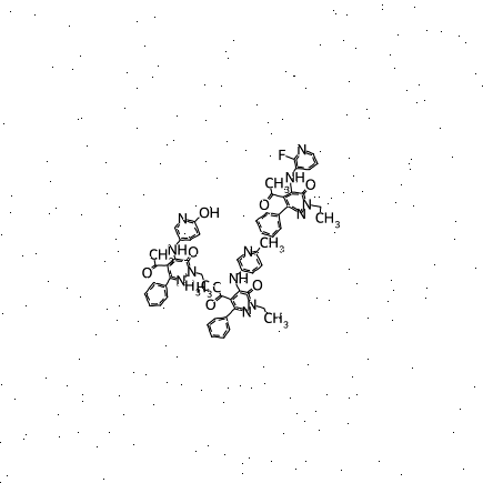 CCn1nc(-c2ccccc2)c(C(C)=O)c(Nc2ccc(C)nc2)c1=O.CCn1nc(-c2ccccc2)c(C(C)=O)c(Nc2ccc(O)nc2)c1=O.CCn1nc(-c2ccccc2)c(C(C)=O)c(Nc2cccnc2F)c1=O